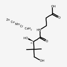 CC(C)(CO)[C@@H](O)C(=O)NCCC(=O)O.[CaH2].[Cr].[Cu].[Mn].[Zn]